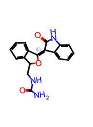 NC(=O)NCC1O/C(=C2/C(=O)Nc3ccccc32)c2ccccc21